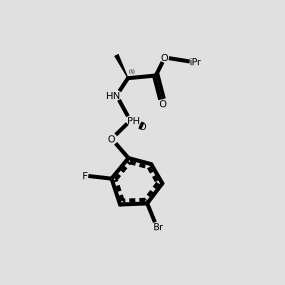 CC(C)OC(=O)[C@H](C)N[PH](=O)Oc1ccc(Br)cc1F